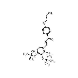 CCCOc1ccc(C(=O)/C=C/c2ccc(OC(C)(C)C)c(OC(C)(C)C)c2C)cc1